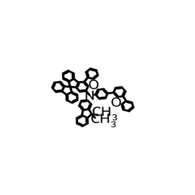 CC1(C)c2ccccc2-c2ccc(N(c3ccc(-c4cccc5c4oc4ccccc45)cc3)c3cc4c(c5c3oc3ccccc35)-c3ccccc3C43c4ccccc4-c4ccccc43)cc21